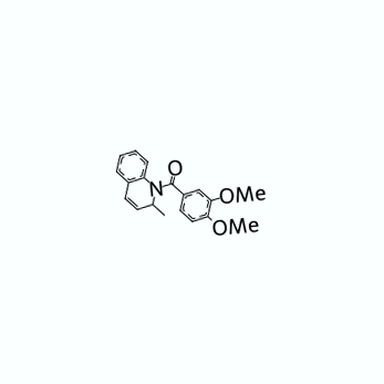 COc1ccc(C(=O)N2c3ccccc3C=CC2C)cc1OC